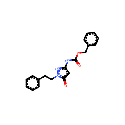 O=C(Nc1cc(=O)n(CCc2ccccc2)[nH]1)OCc1ccccc1